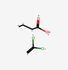 C=C(Cl)Cl.CCCC(=O)O